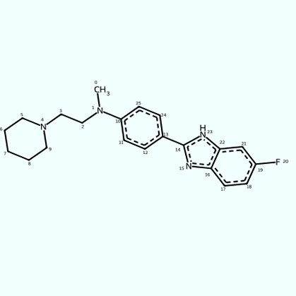 CN(CCN1CCCCC1)c1ccc(-c2nc3ccc(F)cc3[nH]2)cc1